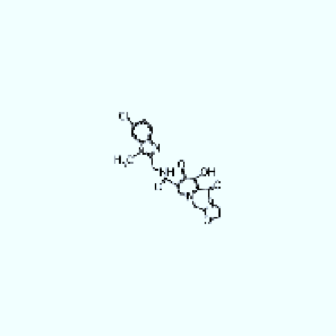 Cn1c(CNC(=O)c2cn3c(c(O)c2=O)C(=O)N2CCOC2C3)nc2ccc(Cl)cc21